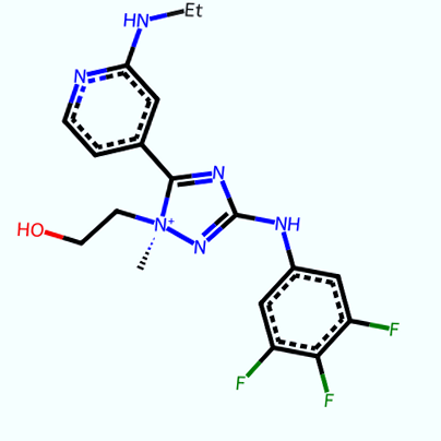 CCNc1cc(C2=NC(Nc3cc(F)c(F)c(F)c3)=N[N@@+]2(C)CCO)ccn1